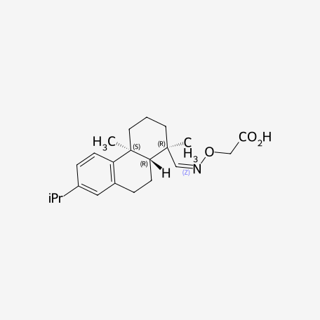 CC(C)c1ccc2c(c1)CC[C@H]1[C@](C)(/C=N\OCC(=O)O)CCC[C@]21C